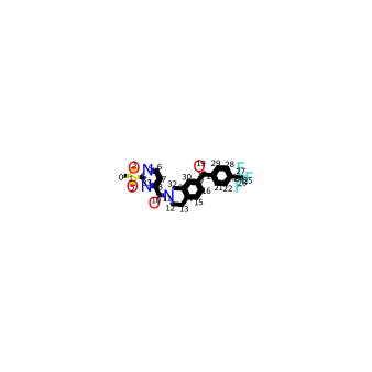 CS(=O)(=O)c1nccc(C(=O)N2CCc3ccc(C(=O)c4ccc(C(F)(F)F)cc4)cc3C2)n1